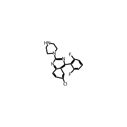 Fc1cccc(F)c1-c1nc(N2CCNCC2)nc2ccc(Cl)cc12